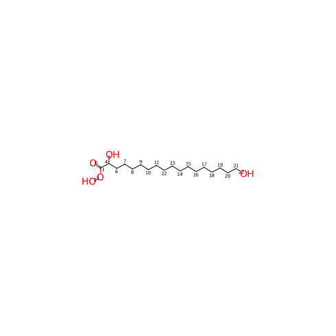 O=C(OO)C(O)CCCCCCCCCCCCCCCCO